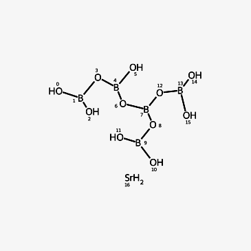 OB(O)OB(O)OB(OB(O)O)OB(O)O.[SrH2]